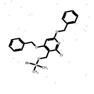 CC(C)(C)[Si](C)(C)OCc1c(OCc2ccccc2)cc(OCc2ccccc2)nc1Cl